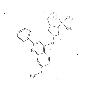 CCC1CC(Oc2cc(-c3ccccc3)nc3cc(OC)ccc23)CN1C(C)(C)C